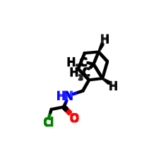 CC1(C)[C@@H]2CCC(CNC(=O)CCl)[C@H]1C2